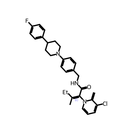 C=C1C(Cl)=CC=CN1/C(C(=O)NCc1ccc(N2CCC(c3ccc(F)cc3)CC2)cc1)=C(\C)CC